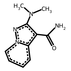 CN(C)c1nn2ccccc2c1C(N)=O